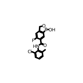 Cc1cccc(Cl)c1NC(=O)c1cc2c(cc1F)COB2O